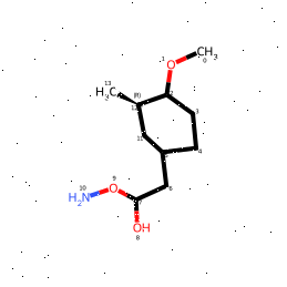 COC1CCC(CC(O)ON)C[C@H]1C